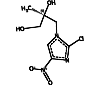 C[C@@](O)(CO)Cn1cc([N+](=O)[O-])nc1Cl